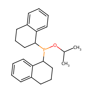 CC(C)OP(C1CCCc2ccccc21)C1CCCc2ccccc21